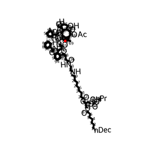 CCCCCCCCCCCCCCCCC(=O)OCC(COP(=O)(O)OCCC)OC(=O)CCCCCCCCCNCCNC(=O)CCC(=O)O[C@@H](C(=O)O[C@H]1C[C@@]2(O)[C@@H](OC(=O)c3ccccc3)C3[C@](C)(C(=O)[C@H](OC(C)=O)C(=C1C)C2(C)C)[C@@H](O)C[C@H]1OC[C@@]31OC(C)=O)[C@@H](NC(=O)c1ccccc1)c1ccccc1